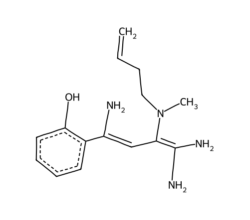 C=CCCN(C)C(/C=C(\N)c1ccccc1O)=C(N)N